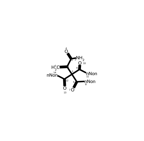 C=C(C(N)=O)C(C(=O)CCCCCCCCC)(C(=O)CCCCCCCCC)C(=O)CCCCCCCCC